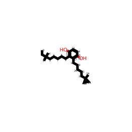 CCC(C)(C)CCCCCc1c(O)ccc(O)c1CCCCCC1(C)CC1